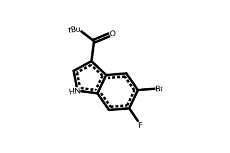 CC(C)(C)C(=O)c1c[nH]c2cc(F)c(Br)cc12